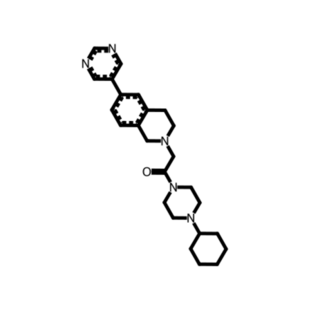 O=C(CN1CCc2cc(-c3cncnc3)ccc2C1)N1CCN(C2CCCCC2)CC1